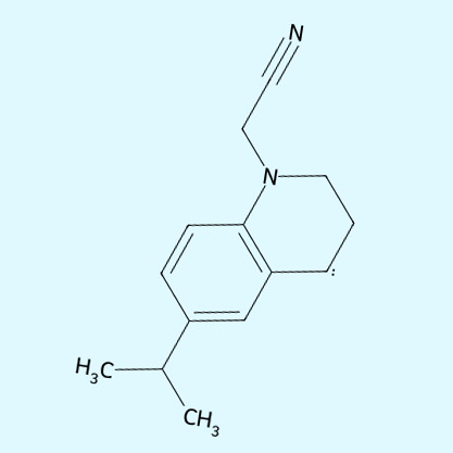 CC(C)c1ccc2c(c1)[C]CCN2CC#N